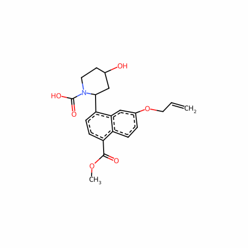 C=CCOc1ccc2c(C(=O)OC)ccc(C3CC(O)CCN3C(=O)O)c2c1